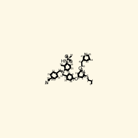 CCCSc1cc(Oc2ccc(CN(Cc3ccc(C#N)cc3)c3cccc(NS(C)(=O)=O)c3C)cc2)cc(OCCc2cccnc2)n1